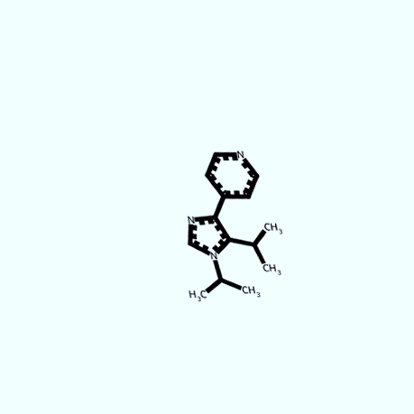 CC(C)c1c(-c2ccncc2)ncn1C(C)C